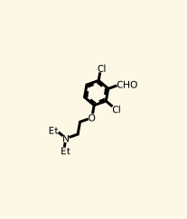 CCN(CC)CCOc1ccc(Cl)c(C=O)c1Cl